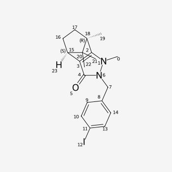 Cn1c2c(c(=O)n1Cc1ccc(I)cc1)[C@H]1CC[C@]2(C)C1(C)C